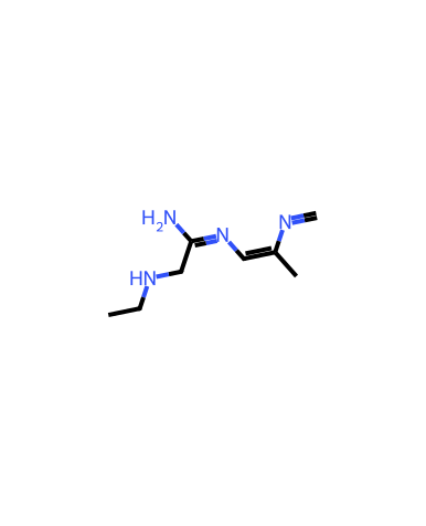 C=N/C(C)=C\N=C(\N)CNCC